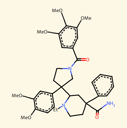 CCN1CCC(C(N)=O)(c2ccccc2)CC1C1(c2ccc(OC)c(OC)c2)CCN(C(=O)c2cc(OC)c(OC)c(OC)c2)C1